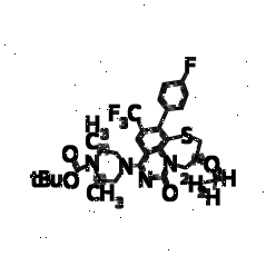 [2H]C([2H])([2H])O[C@@H]1CSc2c(-c3ccc(F)cc3)c(C(F)(F)F)cc3c(N4C[C@@H](C)N(C(=O)OC(C)(C)C)[C@@H](C)C4)nc(=O)n(c23)C1